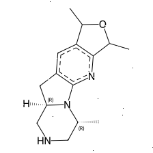 CC1OC(C)c2nc3c(cc21)C[C@@H]1CNC[C@@H](C)N31